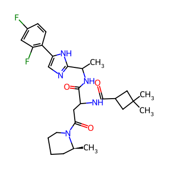 CC(NC(=O)C(CC(=O)N1CCCC[C@@H]1C)NC(=O)C1CC(C)(C)C1)c1ncc(-c2ccc(F)cc2F)[nH]1